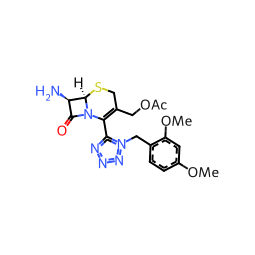 COc1ccc(Cn2nnnc2C2=C(COC(C)=O)CS[C@@H]3[C@H](N)C(=O)N23)c(OC)c1